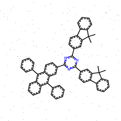 CC1(C)c2ccccc2-c2ccc(-c3nc(-c4ccc5c(c4)C(C)(C)c4ccccc4-5)nc(-c4ccc5c(-c6ccccc6)c6ccccc6c(-c6ccccc6)c5c4)n3)cc21